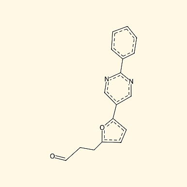 O=CCCc1ccc(-c2cnc(-c3ccccc3)nc2)o1